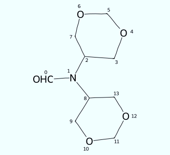 O=CN(C1COCOC1)C1COCOC1